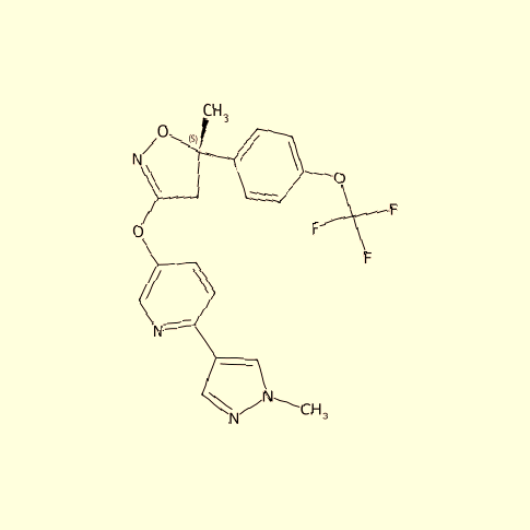 Cn1cc(-c2ccc(OC3=NO[C@](C)(c4ccc(OC(F)(F)F)cc4)C3)cn2)cn1